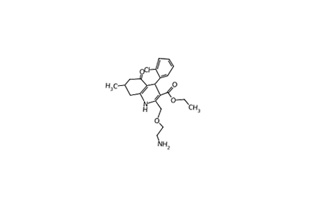 CCOC(=O)C1=C(COCCN)NC2=C(C(=O)CC(C)C2)C1c1ccccc1Cl